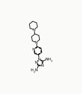 Nc1nc(N)n(-c2ccc(N3CCC(N4CCCCC4)CC3)nc2)n1